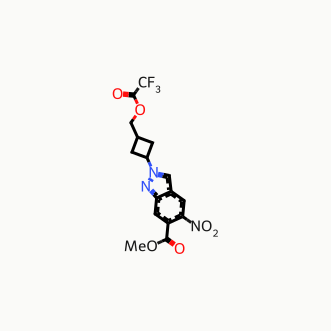 COC(=O)c1cc2nn(C3CC(COC(=O)C(F)(F)F)C3)cc2cc1[N+](=O)[O-]